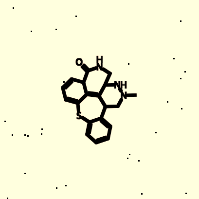 CN1CC2C3=C4C(=CC=CC4C(=O)NCC3N1)Sc1ccccc12